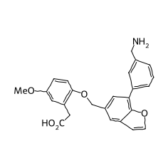 COc1ccc(OCc2cc(-c3cccc(CN)c3)c3occc3c2)c(CC(=O)O)c1